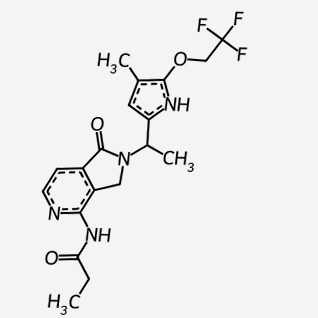 CCC(=O)Nc1nccc2c1CN(C(C)c1cc(C)c(OCC(F)(F)F)[nH]1)C2=O